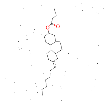 CCCCCCCC1CCC2C(CCC3CC(OC(=O)CCC)CCC32)C1